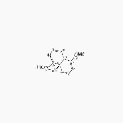 COC1=CC=C[C@@H]2C(C(=O)O)=NC=CC12